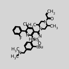 C=CC(=O)N1CC(C)N(/C(=N/[SH]=O)c2cc(Cl)c(-c3ccccc3F)nc2Nc2ccc(CN(C)C)cc2C(C)(C)C)CC1C